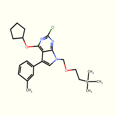 Cc1cccc(-c2cn(COCC[Si](C)(C)C)c3nc(Cl)nc(OC4CCCC4)c23)c1